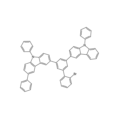 Brc1ccccc1-c1cc(-c2ccc3c(c2)c2ccccc2n3-c2ccccc2)cc(-c2ccc3c(c2)c2cc(-c4ccccc4)ccc2n3-c2ccccc2)c1